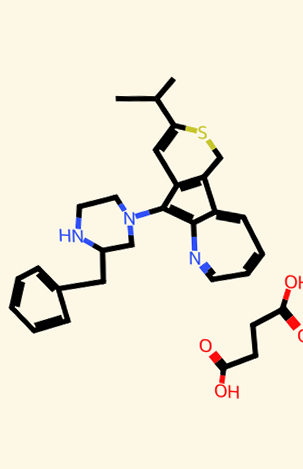 CC(C)C1=Cc2c(c3ccccnc-3c2N2CCNC(Cc3ccccc3)C2)CS1.O=C(O)CCC(=O)O